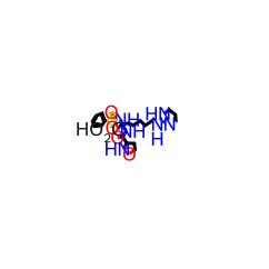 O=C(NC(CCCCCNC1N=CCCN1)(NS(=O)(=O)c1ccccc1)C(=O)O)C1CCON1